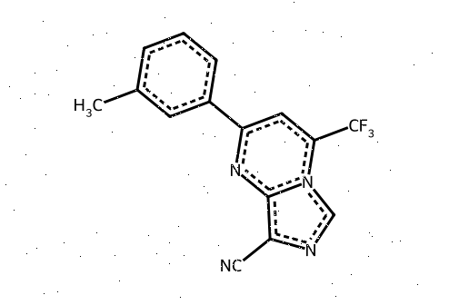 Cc1cccc(-c2cc(C(F)(F)F)n3cnc(C#N)c3n2)c1